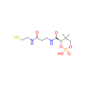 CC1(C)COP(=O)(O)O[C@H]1C(=O)NCCC(=O)NCCS